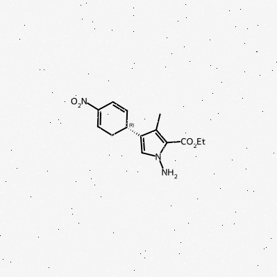 CCOC(=O)c1c(C)c([C@H]2C=CC([N+](=O)[O-])=CC2)cn1N